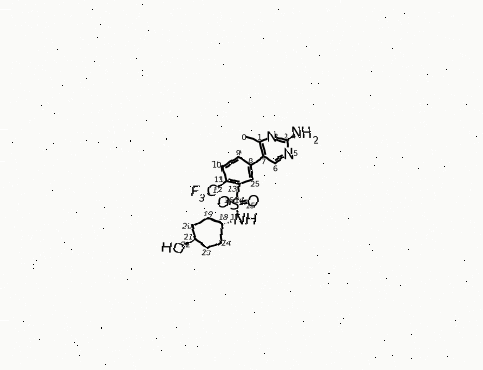 Cc1nc(N)ncc1-c1ccc(C(F)(F)F)c(S(=O)(=O)N[C@H]2CC[C@H](O)CC2)c1